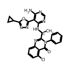 C[C@H](Nc1ncnc(N)c1-c1nnc(C2CC2)o1)c1nc2cccc(Cl)c2c(=O)n1-c1ccccc1